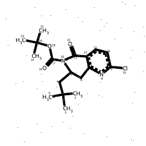 CC(C)(C)CC1Cc2nc(Cl)ccc2C(=O)N1C(=O)OC(C)(C)C